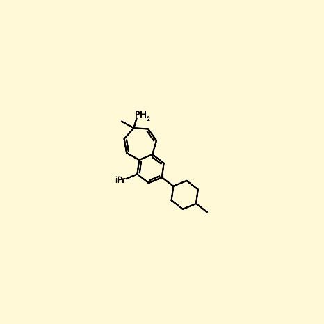 CC1CCC(c2cc3c(c(C(C)C)c2)C=CC(C)(P)C=C3)CC1